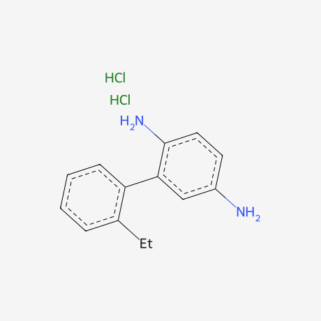 CCc1ccccc1-c1cc(N)ccc1N.Cl.Cl